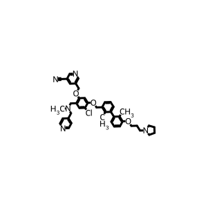 Cc1c(COc2cc(OCc3cncc(C#N)c3)c(CN(C)Cc3ccncc3)cc2Cl)cccc1-c1cccc(OCCCN2CCCC2)c1C